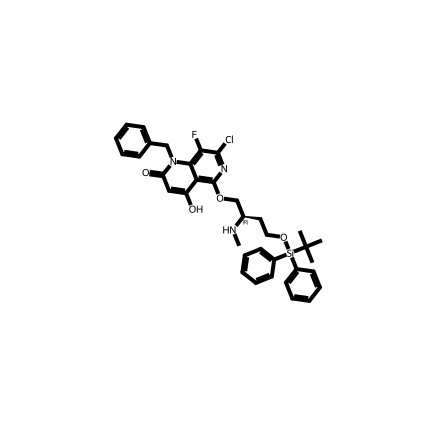 CN[C@H](CCO[Si](c1ccccc1)(c1ccccc1)C(C)(C)C)COc1nc(Cl)c(F)c2c1c(O)cc(=O)n2Cc1ccccc1